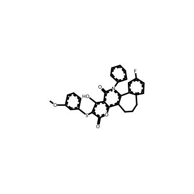 COc1cccc(Sc2c(O)c3c(=O)n(-c4ccccc4)c4c(c3oc2=O)CCCc2ccc(F)cc2-4)c1